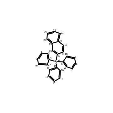 c1ccc(S(c2ccccc2)(c2ccccc2)c2ccc3ccccc3c2)cc1